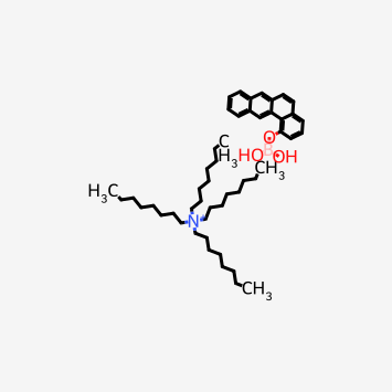 CCCCCCCC[N+](CCCCCCCC)(CCCCCCCC)CCCCCCCC.OB(O)Oc1cccc2ccc3cc4ccccc4cc3c12